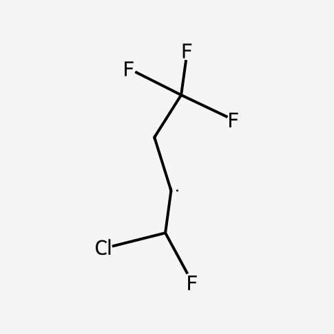 FC(Cl)[CH]CC(F)(F)F